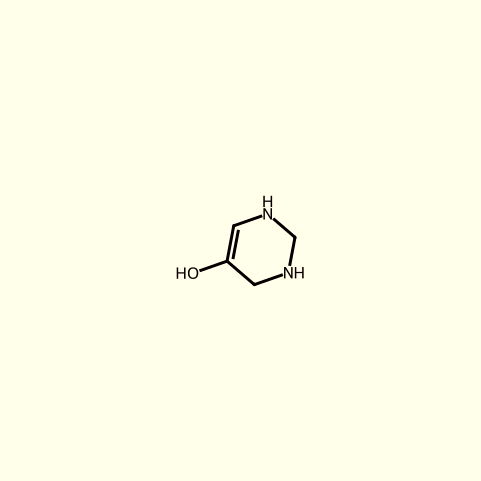 OC1=CNCNC1